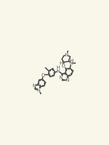 Cc1cc(Nc2ncnc3ccc4c(c23)O[C@@H]2CCN(C)C[C@H]2N4C)ccc1Oc1ccc2c(c1)ncn2C